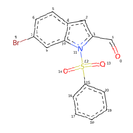 O=Cc1cc2ccc(Br)cc2n1S(=O)(=O)c1ccccc1